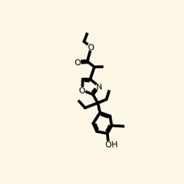 CCOC(=O)C(C)c1coc(C(CC)(CC)c2ccc(O)c(C)c2)n1